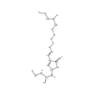 CCOC(C)OCCCCCC=CC1=CC(OC(C)OCC)CC1=O